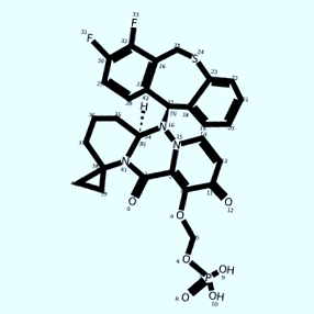 O=C1c2c(OCOP(=O)(O)O)c(=O)ccn2N([C@@H]2c3ccccc3SCc3c2ccc(F)c3F)[C@@H]2CCCC3(CC3)N12